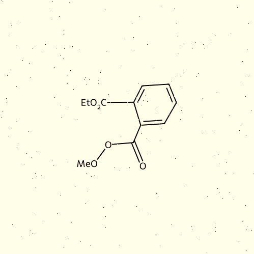 CCOC(=O)c1ccccc1C(=O)OOC